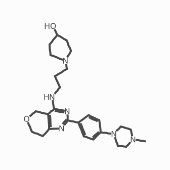 CN1CCN(c2ccc(-c3nc4c(c(NCCCN5CCC(O)CC5)n3)COCC4)cc2)CC1